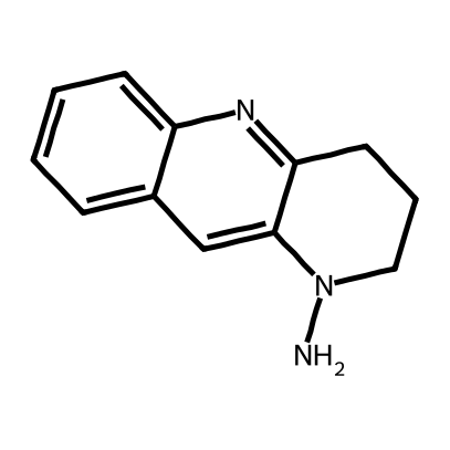 NN1CCCc2nc3ccccc3cc21